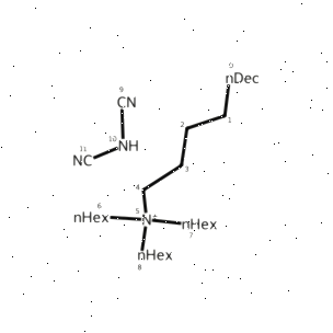 CCCCCCCCCCCCCC[N+](CCCCCC)(CCCCCC)CCCCCC.N#CNC#N